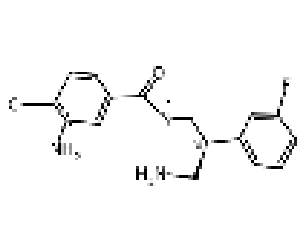 NC[C@@H](CNC(=O)c1ccc(Cl)c(N)c1)c1cccc(F)c1